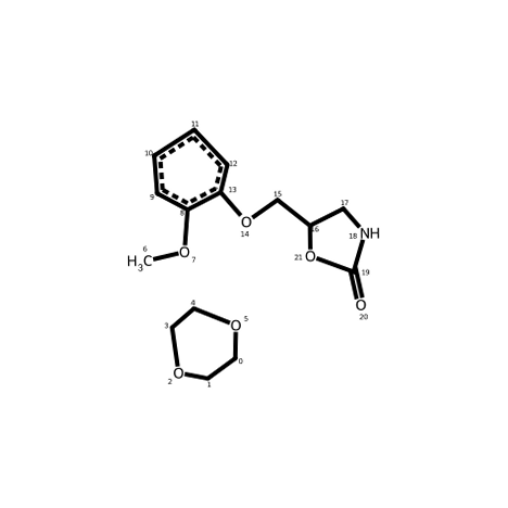 C1COCCO1.COc1ccccc1OCC1CNC(=O)O1